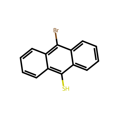 Sc1c2ccccc2c(Br)c2ccccc12